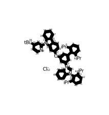 CC(C)c1cccc(C(C)C)c1-c1cc(Oc2ccc3c4ccccc4n(-c4cc(C(C)(C)C)ccn4)c3c2)cc(-[n+]2cn(-c3c(C(C)C)cccc3C(C)C)c3ccccc32)c1.[Cl-]